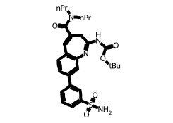 CCCN(CCC)C(=O)C1=Cc2ccc(-c3cccc(S(N)(=O)=O)c3)cc2N=C(NC(=O)OC(C)(C)C)C1